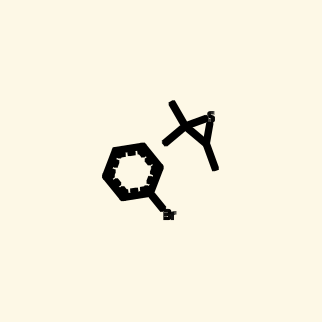 Brc1ccccc1.CC1SC1(C)C